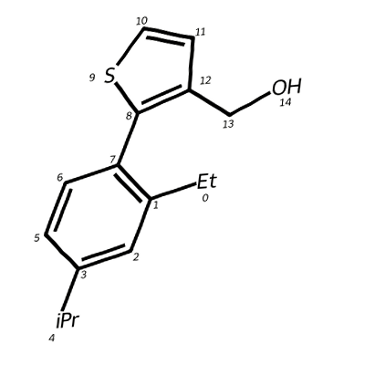 CCc1cc(C(C)C)ccc1-c1sccc1CO